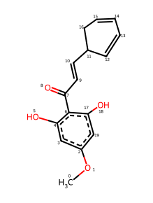 COc1cc(O)c(C(=O)C=CC2C=CC=CC2)c(O)c1